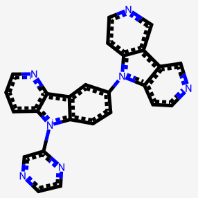 c1cnc2c3cc(-n4c5ccncc5c5cnccc54)ccc3n(-c3cnccn3)c2c1